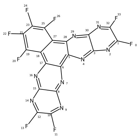 Fc1nc2nc3c4nc5nc(F)c(F)nc5nc4c4c(F)c(F)c(F)c(F)c4c3nc2nc1F